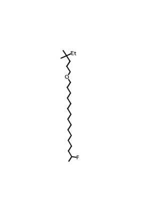 CCC(C)(C)CCCOCCCCCCCCCCCCCCC(C)F